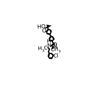 Cc1noc(-c2ccc(-c3ccc(C4(C(=O)O)CC4)cc3)cc2)c1NC(C)CCc1cccc(Cl)c1